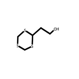 OCCC1SCSCS1